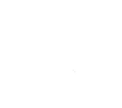 Cc1c(F)c(F)c(F)c(C#N)c1F